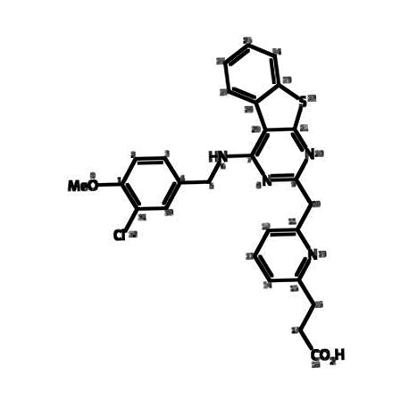 COc1ccc(CNc2nc(Cc3cccc(CCC(=O)O)n3)nc3sc4ccccc4c23)cc1Cl